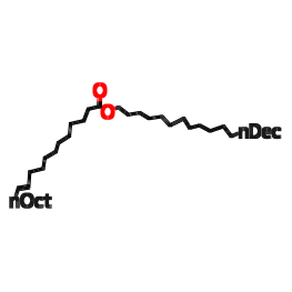 CCCCCCCCC=CCCCCCCCCCC(=O)OCCCCCCCCCCCCCCCCCCCCCC